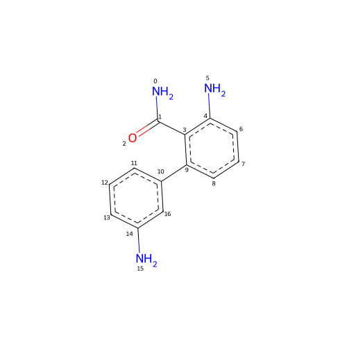 NC(=O)c1c(N)cccc1-c1cccc(N)c1